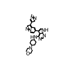 Cn1cc(-c2cnn3ccc(-c4c[nH]c5ncnc(N[C@H]6CC[C@H](N7CCOCC7)CC6)c45)cc23)cn1